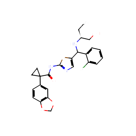 CC(C)C[C@@H](CO)NC(c1cnc(NC(=O)C2(c3ccc4c(c3)OCO4)CC2)s1)c1ccccc1Cl